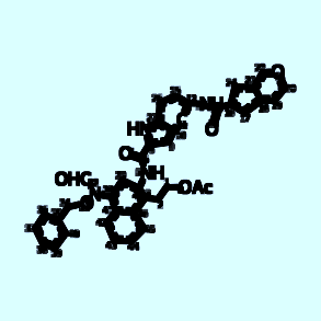 CC(=O)OCCc1c(NC(=O)c2cc3cc(NC(=O)c4cc5ccocc-5c4)ccc3[nH]2)cc(N(C=O)OCc2ccccc2)c2ccccc12